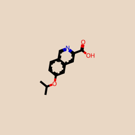 CC(C)Oc1ccc2cnc(C(=O)O)cc2c1